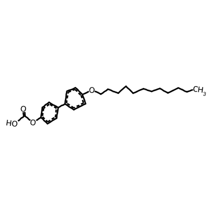 CCCCCCCCCCCCOc1ccc(-c2ccc(OC(=O)O)cc2)cc1